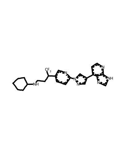 FC(F)(F)C(CCNC1CCCCC1)c1ccc(-n2cc(-c3ccnc4[nH]cnc34)cn2)nc1